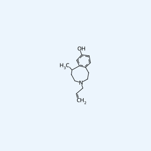 C=CCN1CCc2ccc(O)cc2C(C)CC1